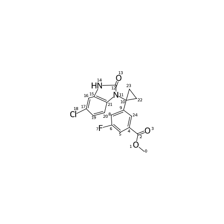 COC(=O)c1cc(F)cc(C2(n3c(=O)[nH]c4cc(Cl)ccc43)CC2)c1